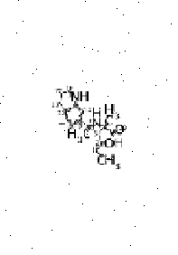 CCCCC(C)(N[C@H](C)c1ccc2c(c1)NCCC2)C(=O)O